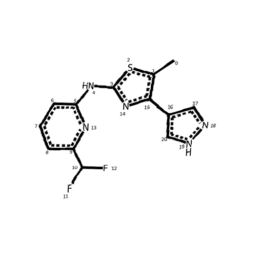 Cc1sc(Nc2cccc(C(F)F)n2)nc1-c1cn[nH]c1